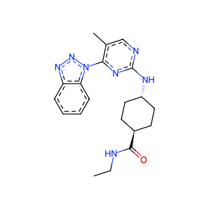 CCNC(=O)[C@H]1CC[C@H](Nc2ncc(C)c(-n3nnc4ccccc43)n2)CC1